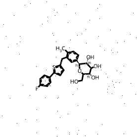 Cc1ccc([C@@H]2OC(CO)[C@@H](O)C(O)[C@H]2O)cc1Cc1ccc(-c2ccc(F)cc2)s1